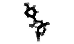 CC[S@@](=O)(C[C@H](C)c1ccc(Cl)nc1)=NC#N